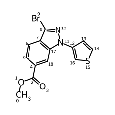 COC(=O)c1ccc2c(Br)nn(-c3ccsc3)c2c1